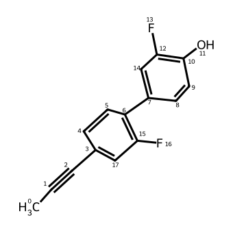 CC#Cc1ccc(-c2ccc(O)c(F)c2)c(F)c1